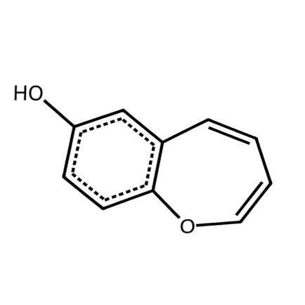 Oc1ccc2c(c1)C=CC=CO2